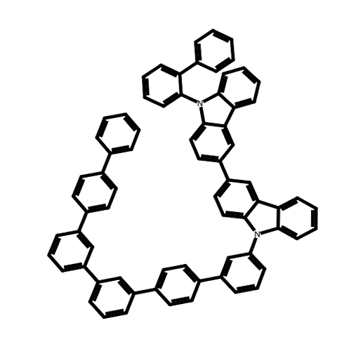 c1ccc(-c2ccc(-c3cccc(-c4cccc(-c5ccc(-c6cccc(-n7c8ccccc8c8cc(-c9ccc%10c(c9)c9ccccc9n%10-c9ccccc9-c9ccccc9)ccc87)c6)cc5)c4)c3)cc2)cc1